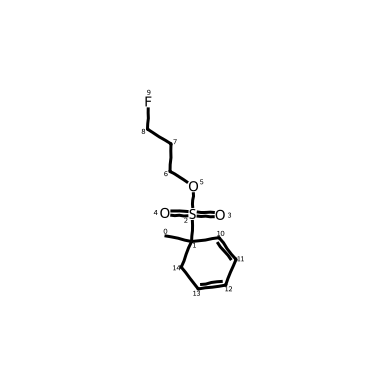 CC1(S(=O)(=O)OCCCF)C=CC=CC1